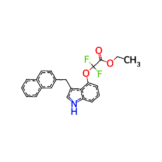 CCOC(=O)C(F)(F)Oc1cccc2[nH]cc(Cc3ccc4ccccc4c3)c12